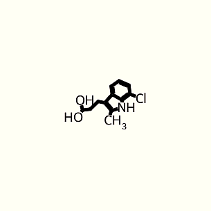 Cc1[nH]c2c(Cl)cccc2c1CCC(O)O